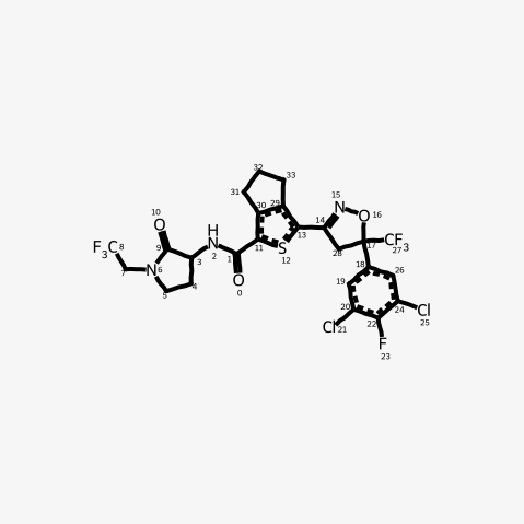 O=C(NC1CCN(CC(F)(F)F)C1=O)c1sc(C2=NOC(c3cc(Cl)c(F)c(Cl)c3)(C(F)(F)F)C2)c2c1CCC2